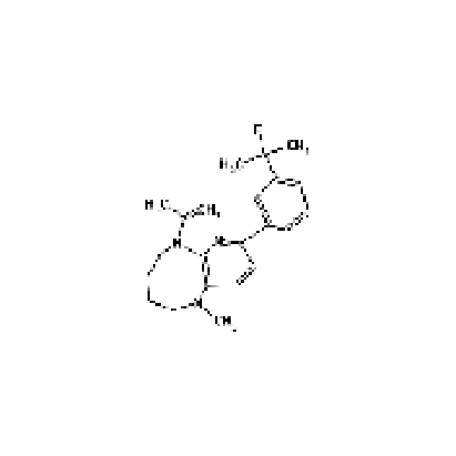 C=C(C)N1CCCCN(C)c2ccc(-c3cccc(C(C)(C)F)c3)nc21